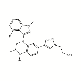 CC(=O)N1c2ccc(-c3cnn(CCO)c3)cc2N(c2nn(C)c3cccc(F)c23)CC1C